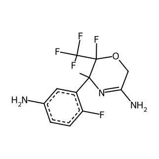 CC1(c2cc(N)ccc2F)N=C(N)COC1(F)C(F)(F)F